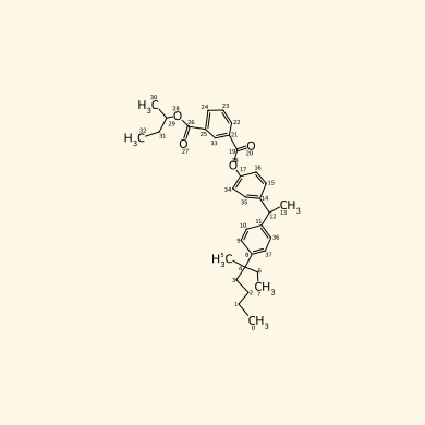 CCCCC(C)(CC)c1ccc(C(C)c2ccc(OC(=O)c3cccc(C(=O)OC(C)CC)c3)cc2)cc1